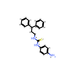 Nc1ccc(NC(=S)NCCC(c2ccccc2)c2ccccc2)cc1